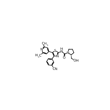 Cc1cc(-c2sc(NC(=O)N3CCC[C@H]3CO)nc2-c2cccc(C#N)c2)cc(C)n1